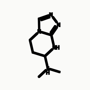 C[SH](C)C1CCn2cnnc2N1